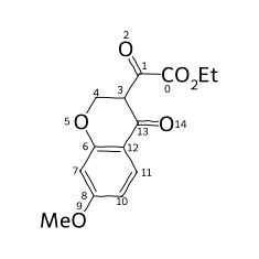 CCOC(=O)C(=O)C1COc2cc(OC)ccc2C1=O